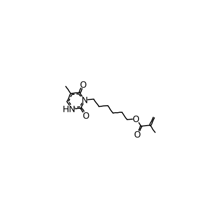 C=C(C)C(=O)OCCCCCCn1c(=O)[nH]cc(C)c1=O